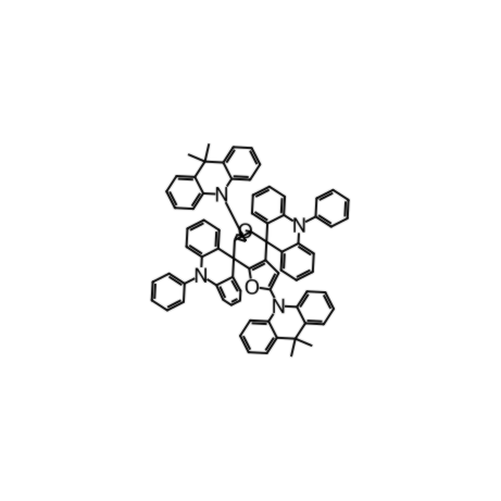 CC1(C)c2ccccc2N(c2cc3c(o2)C2(c4ccccc4N(c4ccccc4)c4ccccc42)c2cc(N4c5ccccc5C(C)(C)c5ccccc54)oc2C32c3ccccc3N(c3ccccc3)c3ccccc32)c2ccccc21